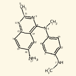 CNc1ccc(N(C)c2nc(C)nc3ccc(N)cc23)cc1